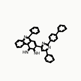 N=C1C(=N)c2c(c(-c3ccccc3)nc3ccccc23)C=C1c1cc(-c2ccccc2)nc(-c2ccc(-c3ccccc3)cc2)n1